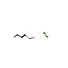 CCCCCCOS(=O)(=O)C(F)(F)C(F)(F)F.[CaH2]